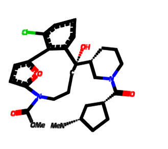 CN[C@H]1CC[C@@H](C(=O)N2CCC[C@@H]([C@@]3(O)CCCN(C(=O)OC)c4ccc(o4)-c4c(Cl)cccc43)C2)C1